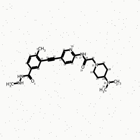 CNNC(=O)c1ccc(C)c(C#Cc2ccc(NC(=O)CN3CCC(N(C)C)CC3)nc2)c1